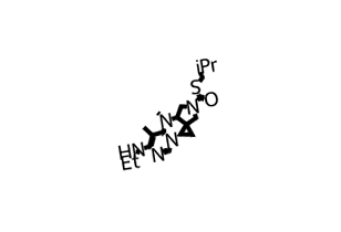 CCNc1ncnc(N(C)C2CN(C(=O)SCC(C)C)CC23CC3)c1C